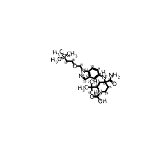 CC(C)(C)C1CC(Nc2ccc3c(cnn3COCC[Si](C)(C)C)c2)(C(N)=O)CCN1C(=O)O